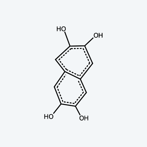 Oc1cc2cc(O)c(O)cc2cc1O